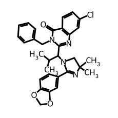 CC(C)C(c1nc2cc(Cl)ccc2c(=O)n1Cc1ccccc1)N1CC(C)(C)N=C1c1ccc2c(c1)OCO2